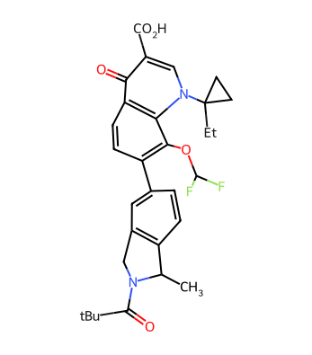 CCC1(n2cc(C(=O)O)c(=O)c3ccc(-c4ccc5c(c4)CN(C(=O)C(C)(C)C)C5C)c(OC(F)F)c32)CC1